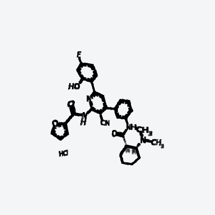 CN(C)[C@@H]1CCCC[C@@H]1C(=O)Nc1cccc(-c2cc(-c3ccc(F)cc3O)nc(NC(=O)c3ccco3)c2C#N)c1.Cl